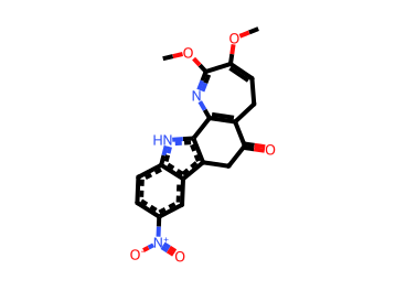 COC1=CCC2=C(N=C1OC)c1[nH]c3ccc([N+](=O)[O-])cc3c1CC2=O